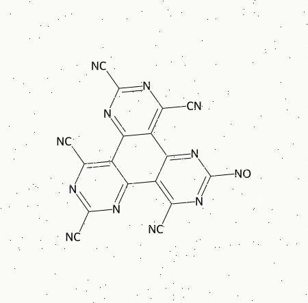 N#Cc1nc(C#N)c2c(n1)c1c(C#N)nc(C#N)nc1c1c(C#N)nc(N=O)nc21